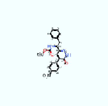 CC(C)(C)OC(=O)N[C@@H](Cc1ccccc1)c1cc(-c2ccc([N+](=O)[O-])cc2)c(=O)[nH]n1